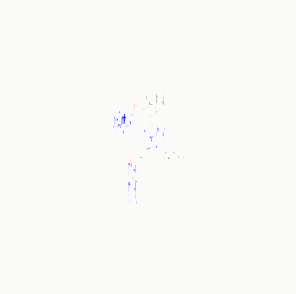 COc1cc(C(=O)N2CC3(CNC3)C2)ccc1Nc1ncc(-c2ccc(C#N)c(OC(C)Cn3cnnn3)c2)cn1